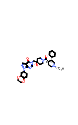 O=C(O)N1CC[C@@H](C(=O)N2CCC(O)(Cn3cnc4c(cnn4-c4ccc5c(c4)OCCO5)c3=O)CC2)[C@H](c2ccccc2)C1